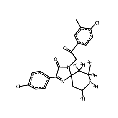 [2H]C1CC2(N=C(c3ccc(Cl)cc3)C(=O)N2CC(=O)c2ccc(Cl)c(C)c2)C([2H])([2H])C([2H])([2H])N1[2H]